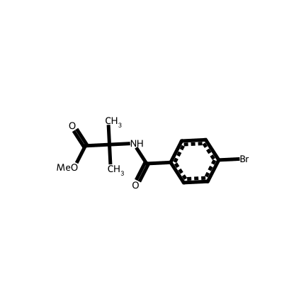 COC(=O)C(C)(C)NC(=O)c1ccc(Br)cc1